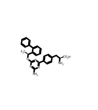 Nc1nc(O[C@H](c2ccccc2-c2ccccc2)C(F)(F)F)nc(-c2ccc(C[C@H](N)C(=O)O)cc2)n1